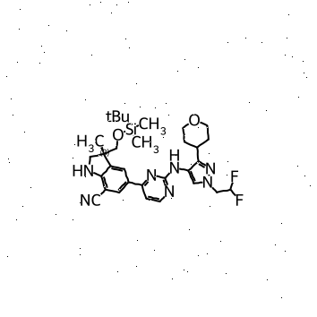 CC(C)(C)[Si](C)(C)OC[C@@]1(C)CNc2c(C#N)cc(-c3ccnc(Nc4cn(CC(F)F)nc4C4CCOCC4)n3)cc21